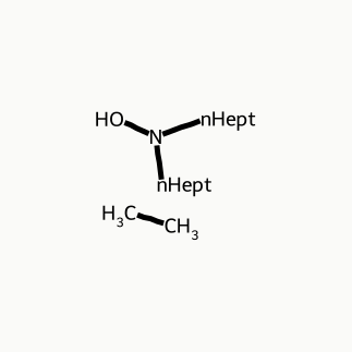 CC.CCCCCCCN(O)CCCCCCC